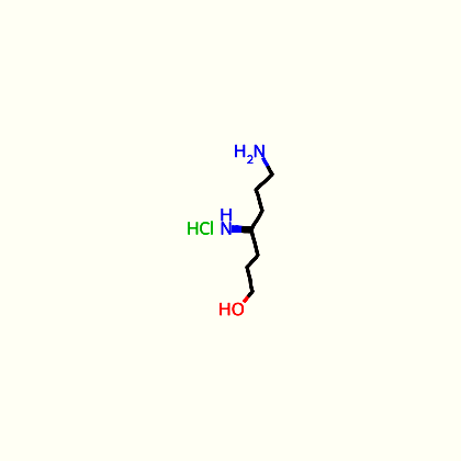 Cl.N=C(CCCN)CCCO